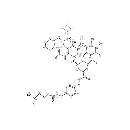 CCC1CC(C(=O)NCc2ccc(CNC(=O)CCCC(=O)O)cc2)C[C@@H](O[C@@H]2OC(CO)[C@H](O)C(O[C@@H](CC3CCCCC3)C(=O)N3CCC3)C2NC(C)=O)C1O[C@@H]1OC(C)[C@@H](O)C(O)C1O